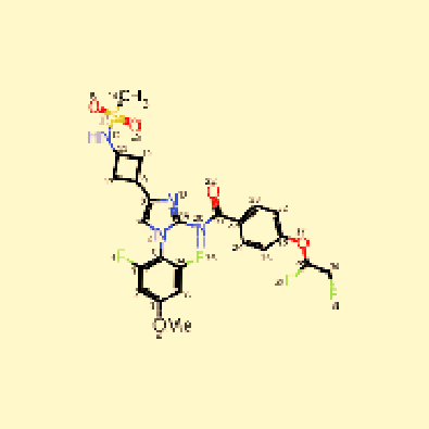 COc1cc(F)c(-n2cc(C3CC(NS(C)(=O)=O)C3)nc2NC(=O)c2ccc(OC(F)CF)cc2)c(F)c1